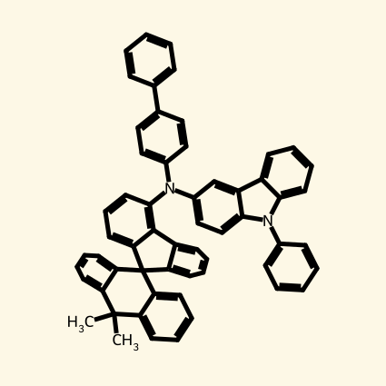 CC1(C)c2ccccc2C2(c3ccccc3-c3c(N(c4ccc(-c5ccccc5)cc4)c4ccc5c(c4)c4ccccc4n5-c4ccccc4)cccc32)c2ccccc21